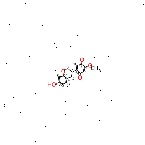 COC1=CC(=O)C([C@@H]2COc3cc(O)ccc3C2)=CC1=O